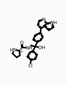 O=C(NCC(O)(c1ccc(Cl)cc1)c1ccc(-c2ccnc3[nH]ccc23)cc1)[C@H]1CCCN1